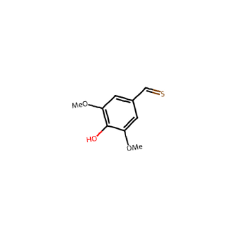 COc1cc(C=S)cc(OC)c1O